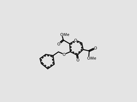 COC(=O)c1occ(C(=O)OC)c(=O)c1OCc1ccccc1